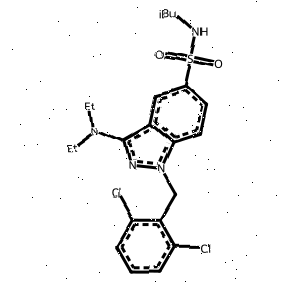 CCC(C)NS(=O)(=O)c1ccc2c(c1)c(N(CC)CC)nn2Cc1c(Cl)cccc1Cl